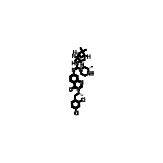 C[C@H]1[C@@H](NC(=Nc2ccc3c(=O)n([C@H](C)Cc4ccc(Cl)cc4Cl)cnc3c2)N2CCN[C@@H](C)C2)C[C@@H]2C[C@@H]1C2(C)C